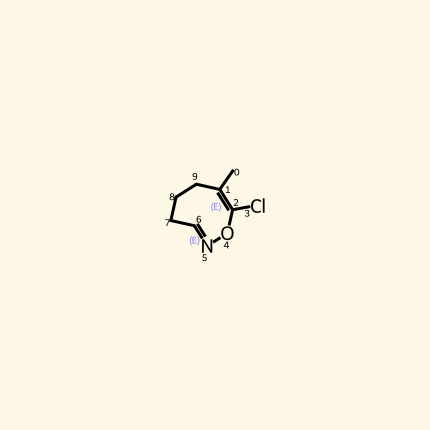 C/C1=C(\Cl)O/N=C/CCC1